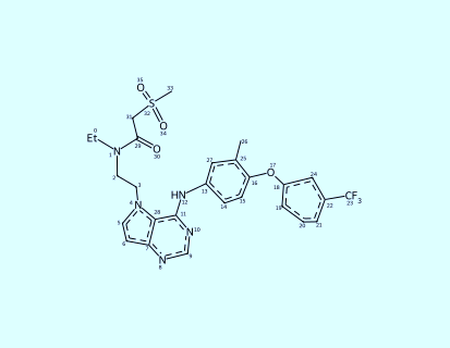 CCN(CCn1ccc2ncnc(Nc3ccc(Oc4cccc(C(F)(F)F)c4)c(C)c3)c21)C(=O)CS(C)(=O)=O